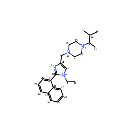 CCn1cc(CN2CCN(C(C)C(C)C)CC2)nc1-c1cccc2ccccc12